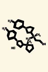 C[N+](C)(CCO)C1CCN(c2ccc(N)cc2)C1.C[N+]1(C2CCN(c3ccc(N)cc3)C2)CCCC1.Cl